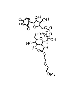 COCCOCCOC(=O)N[C@H]1C(O)[C@@H](O)C(CO)O[C@@H]1OP(=O)(O)OP(=O)(O)OCC1OC(n2ccc(=O)[nH]c2=O)C(O)C1O